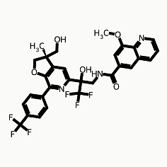 COc1cc(C(=O)NCC(O)(c2cc3c(c(-c4ccc(C(F)(F)F)cc4)n2)OC[C@]3(C)CO)C(F)(F)F)cc2cccnc12